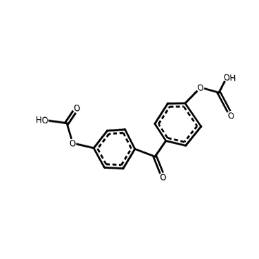 O=C(O)Oc1ccc(C(=O)c2ccc(OC(=O)O)cc2)cc1